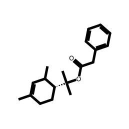 CC1=CC(C)[C@H](C(C)(C)OC(=O)Cc2ccccc2)CC1